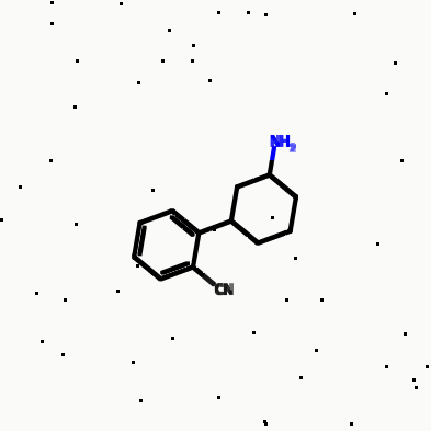 N#Cc1ccccc1C1CCCC(N)C1